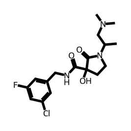 CC(CN(C)C)N1CCC(O)(C(=O)NCc2cc(F)cc(Cl)c2)C1=O